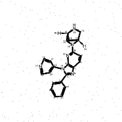 c1ccc(-c2nc3ccc(N4C[C@H]5C[C@@H]4CN5)nc3n2-c2ccncc2)cc1